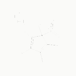 CC1=C(C)C(C)(P(=O)=O)[C]([Ti])=C1C.Cl.Cl